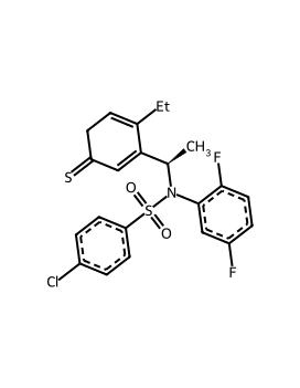 [CH2]CC1=CCC(=S)C=C1[C@@H](C)N(c1cc(F)ccc1F)S(=O)(=O)c1ccc(Cl)cc1